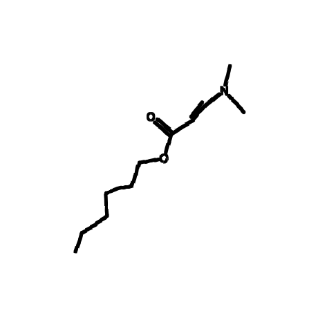 CCCCCCOC(=O)C=CN(C)C